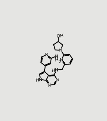 Nc1cc(-c2c[nH]c3ncnc(NCc4cccc(N5CCC(O)C5)n4)c23)ccn1